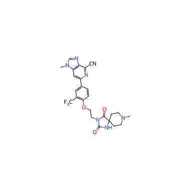 CN1CCC2(CC1)NC(=O)N(CCOc1ccc(-c3cc4c(ncn4C)c(C#N)n3)cc1C(F)(F)F)C2=O